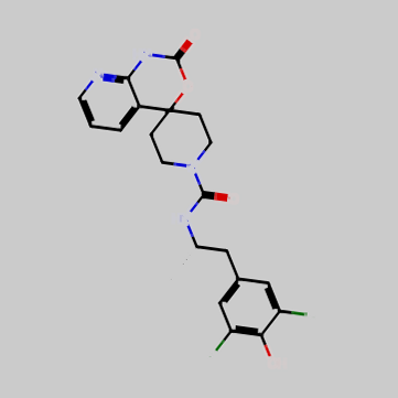 O=C1Nc2ncccc2C2(CCN(C(=O)N[C@H](Cc3cc(Br)c(O)c(Br)c3)C(=O)O)CC2)O1